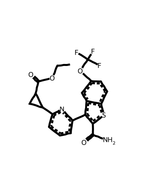 CCOC(=O)C1CC1c1cccc(-c2c(C(N)=O)sc3ccc(OC(F)(F)F)cc23)n1